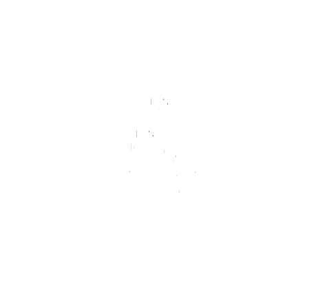 C=C(S(=O)(=O)O)S(=O)(=O)O.Nc1ccccc1N